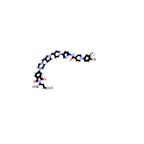 N#Cc1ccc(N2CCC(C(=O)Nc3ccc(N4CCC(CN5CCC(CN6CCN(c7ccc8c(c7)C(=O)N(C(C=O)CCC=O)C8=O)CC6)C5)CC4)cn3)CC2)cc1C(F)(F)F